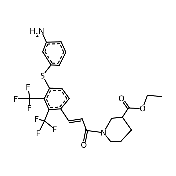 CCOC(=O)C1CCCN(C(=O)C=Cc2ccc(Sc3cccc(N)c3)c(C(F)(F)F)c2C(F)(F)F)C1